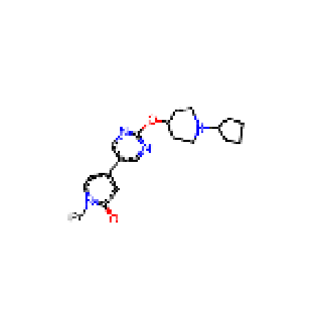 CC(C)n1ccc(-c2cnc(OC3CCN(C4CCCC4)CC3)nc2)cc1=O